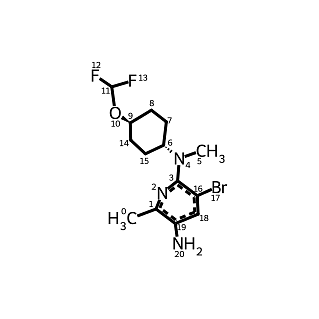 Cc1nc(N(C)[C@H]2CC[C@H](OC(F)F)CC2)c(Br)cc1N